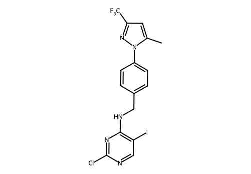 Cc1cc(C(F)(F)F)nn1-c1ccc(CNc2nc(Cl)ncc2I)cc1